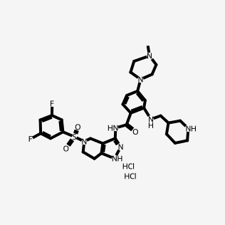 CN1CCN(c2ccc(C(=O)Nc3n[nH]c4c3CN(S(=O)(=O)c3cc(F)cc(F)c3)CC4)c(NCC3CCCNC3)c2)CC1.Cl.Cl